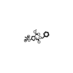 COC(=O)[C@@H]1C[C@H](OS(C)(=O)=O)CN1C(=O)OCc1ccccc1